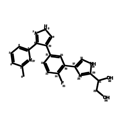 Cc1cccc(-c2n[nH]cc2-c2ccc(F)c(-c3c[nH]c(C(O)CO)n3)c2)n1